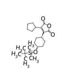 CC(C)(C)[Si](C)(C)O[C@H]1CC[C@@H](C2=C(C3CCCC3)C(=O)OC2=O)CC1